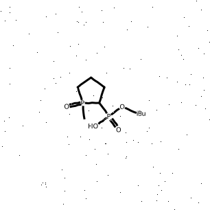 CCC(C)OP(=O)(O)C1CCCP1(C)=O